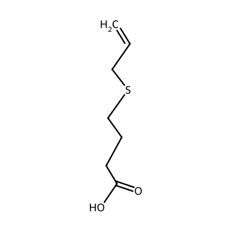 C=CCSCCCC(=O)O